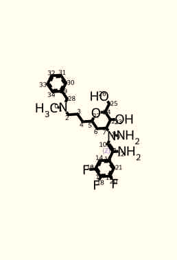 CN(CCCC1CC(N(N)/C=C(\N)c2cc(F)c(F)c(F)c2)C(O)C(CO)O1)Cc1ccccc1